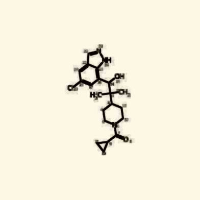 CC(C)(C1CCN(C(=O)C2CC2)CC1)C(O)c1cc(Cl)cc2cn[nH]c12